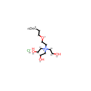 CCCCCCCCCCCCOCC[N+](CCO)(CCO)CCO.[Cl-]